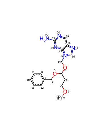 CC(C)OCCC(OCc1ccccc1)OCn1cnc2cnc(N)nc21